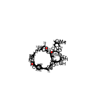 CC[C@H]1OC(=O)[C@H](C)[C@@H](O[C@H]2C[C@@](C)(OC)[C@@H](O)[C@H](C)O2)[C@H](C)[C@H]2O[C@H]3C[C@H](C[C@@H](C)O3)N(C)CCc3cn(nn3)[C@H](CF)[C@H](OC)c3ccc(cc3)-c3cnc(s3)N[C@H](C[C@@]2(C)OC)C(=O)[C@H](C)[C@@H](O)[C@]1(C)O